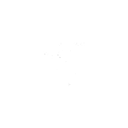 CCCCCCCCCC(=O)N1C(=O)Cc2cc(F)ccc21